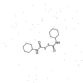 O=C(NC1CCCCC1)SSC(=O)NC1CCCCC1